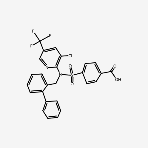 O=C(O)c1ccc(S(=O)(=O)N(Cc2ccccc2-c2ccccc2)c2ncc(C(F)(F)F)cc2Cl)cc1